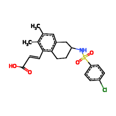 Cc1cc2c(c(/C=C/C(=O)O)c1C)CCC(NS(=O)(=O)c1ccc(Cl)cc1)C2